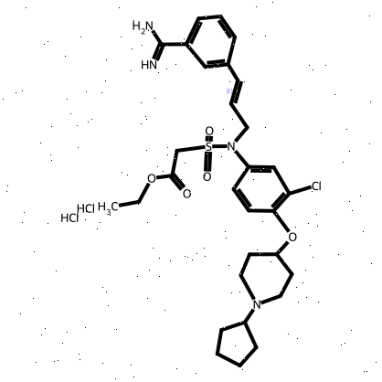 CCOC(=O)CS(=O)(=O)N(C/C=C/c1cccc(C(=N)N)c1)c1ccc(OC2CCN(C3CCCC3)CC2)c(Cl)c1.Cl.Cl